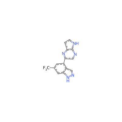 FC(F)(F)c1cc(-c2cnc3[nH]ccc3n2)c2cn[nH]c2c1